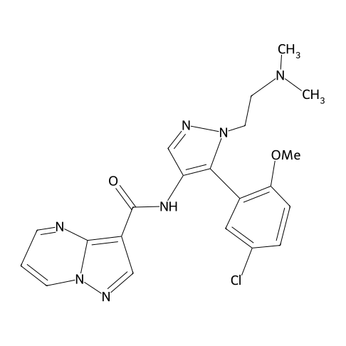 COc1ccc(Cl)cc1-c1c(NC(=O)c2cnn3cccnc23)cnn1CCN(C)C